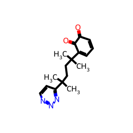 CC(C)(CCC(C)(C)c1ccnnn1)C1=CC=CC(=O)C1=O